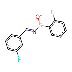 [O-][S+](/N=C/c1cccc(F)c1)c1ccccc1F